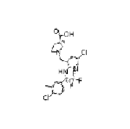 Cc1cc([C@H](Nc2ncc(Cl)cc2CN2CC[C@@H](C(=O)O)C2)C(F)(F)F)ccc1Cl